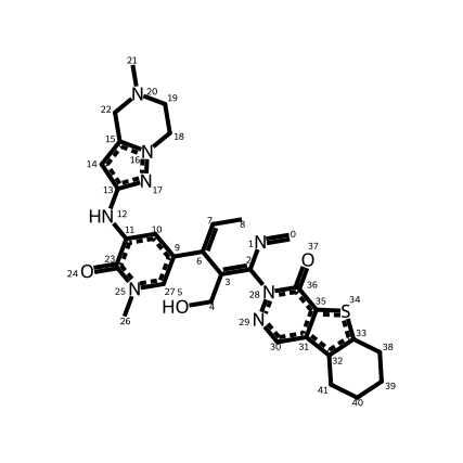 C=N/C(=C(CO)\C(=C/C)c1cc(Nc2cc3n(n2)CCN(C)C3)c(=O)n(C)c1)n1ncc2c3c(sc2c1=O)CCCC3